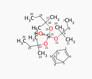 C1=CC2C=CC1C2.CCC(C)(C)O[Si](O)(OC(C)(C)CC)OC(C)(C)CC